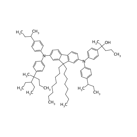 CCCCCCCCC1(CCCCCCCC)c2cc(N(c3ccc(C(C)CC)cc3)c3ccc(C(C)(O)CCC)cc3)ccc2-c2ccc(N(c3ccc(C(C)CC)cc3)c3ccc(C(C)(CCC)C(CC)CC)cc3)cc21